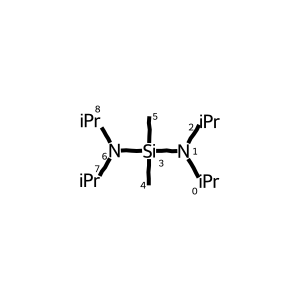 CC(C)N(C(C)C)[Si](C)(C)N(C(C)C)C(C)C